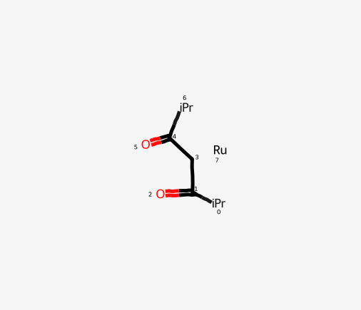 CC(C)C(=O)CC(=O)C(C)C.[Ru]